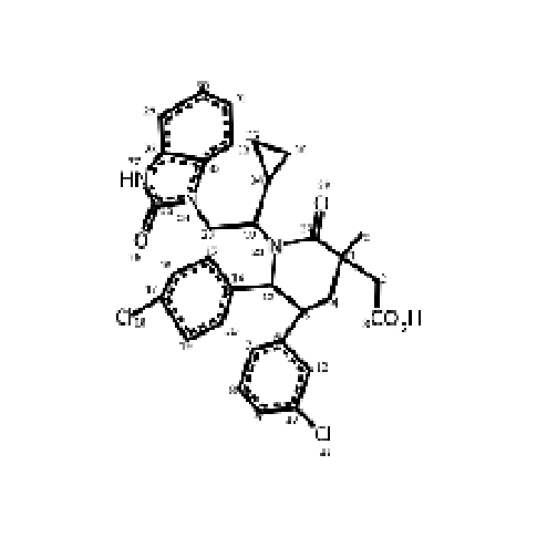 CC1(CC(=O)O)CC(c2cccc(Cl)c2)C(c2ccc(Cl)cc2)N(C(Cn2c(=O)[nH]c3ccccc32)C2CC2)C1=O